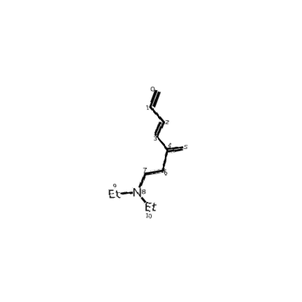 C=CC=CC(=C)CCN(CC)CC